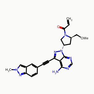 C=CC(=O)N1C[C@@H](n2nc(C#Cc3ccc4nn(C)cc4c3)c3c(N)ncnc32)C[C@@H]1COC